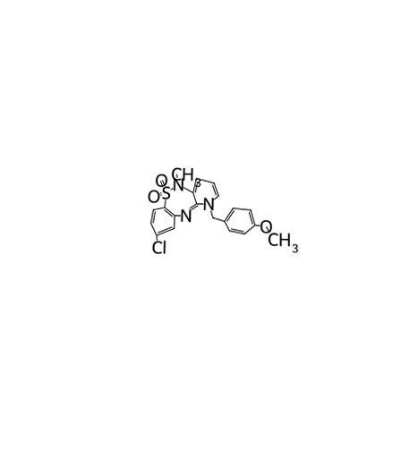 COc1ccc(CN2C=CC=C3C2=Nc2cc(Cl)ccc2S(=O)(=O)N3C)cc1